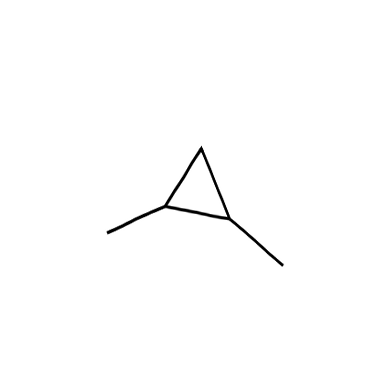 CC1CC1C